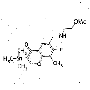 COCCNCc1cc2c(=O)[c]([Sn]([CH3])([CH3])[CH3])coc2c(C)c1F